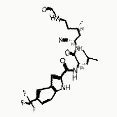 CC(C)C[C@H](NC(=O)c1cc2cc(C(F)(F)F)ccc2[nH]1)C(=O)N[C@H](C#N)C[C@@H](C)CCNC=O